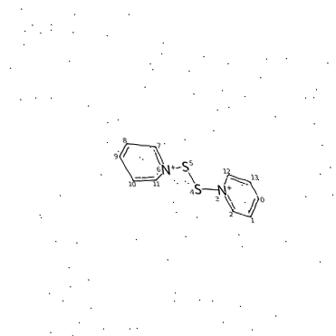 c1cc[n+](SS[n+]2ccccc2)cc1